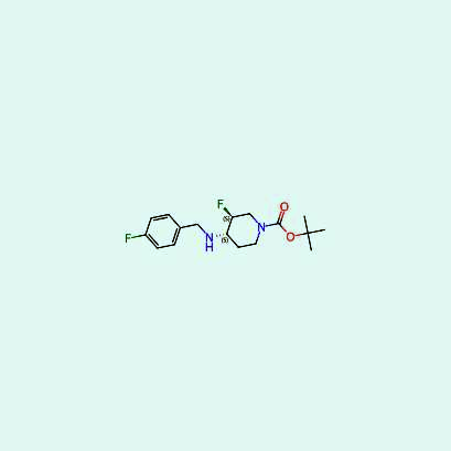 CC(C)(C)OC(=O)N1CC[C@H](NCc2ccc(F)cc2)[C@@H](F)C1